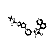 CC(C)(C)OC(=O)N1CC2(CCC(N3CCC[C@H](c4nn(-c5cccc6cnccc56)c(=O)[nH]4)C3)C2)C1